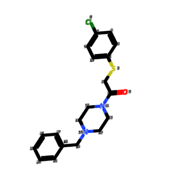 O=C(CSc1ccc(Cl)cc1)N1CCN(Cc2ccccc2)CC1